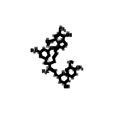 CO[C@H]1CC(OC(C/C=C/C=C2\COC3C2[C@H]([C@@H]2CO2)C=C(C)[C@H]3O)/C(C)=C/C[C@@H]2C[C@H](O)C[C@]3(CC[C@H](C)C(C(C)C)O3)O2)O[C@@H](C)C1